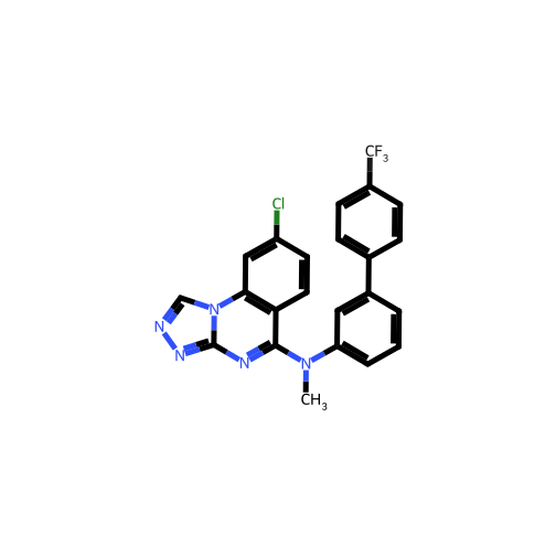 CN(c1cccc(-c2ccc(C(F)(F)F)cc2)c1)c1nc2nncn2c2cc(Cl)ccc12